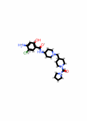 Nc1cc(O)c(C(=O)NC2CCN(CC3CCN(C(=O)N4CCCC4)CC3)CC2)cc1Cl